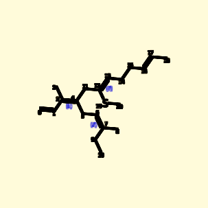 C=C/C(C)=C(\C/C=C(/C)CC)C/C(=C/CCC=CC)SC